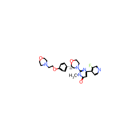 Cn1c(N2CCO[C@@H](c3ccc(OCCN4CCOCC4)cc3)C2)nc(-c2ccncc2F)cc1=O